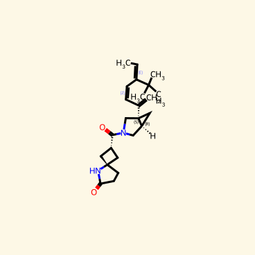 C=C(/C=C\C(=C/C)C(C)(C)C)[C@]12C[C@H]1CN(C(=O)[C@H]1C[C@]3(CCC(=O)N3)C1)C2